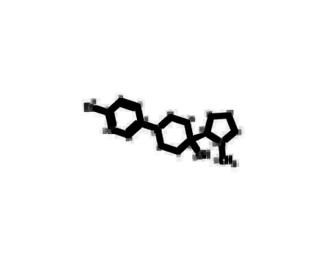 CCc1ccc(N2CCC(O)([C@H]3CCCN3C)CC2)cn1